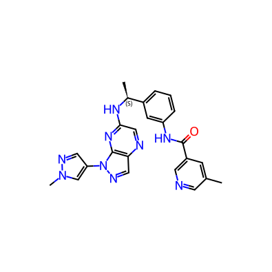 Cc1cncc(C(=O)Nc2cccc([C@H](C)Nc3cnc4cnn(-c5cnn(C)c5)c4n3)c2)c1